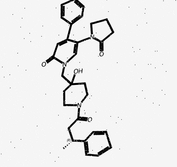 C[C@H](CC(=O)N1CCC(O)(Cn2cc(N3CCCC3=O)c(-c3ccccc3)cc2=O)CC1)c1ccccc1